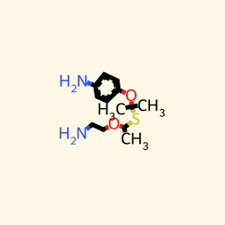 CC(OCCN)SC(C)(C)Oc1ccc(N)cc1